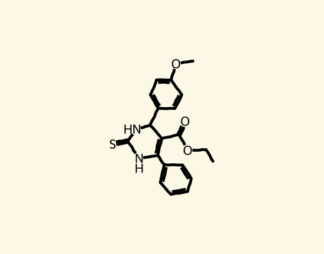 CCOC(=O)C1=C(c2ccccc2)NC(=S)NC1c1ccc(OC)cc1